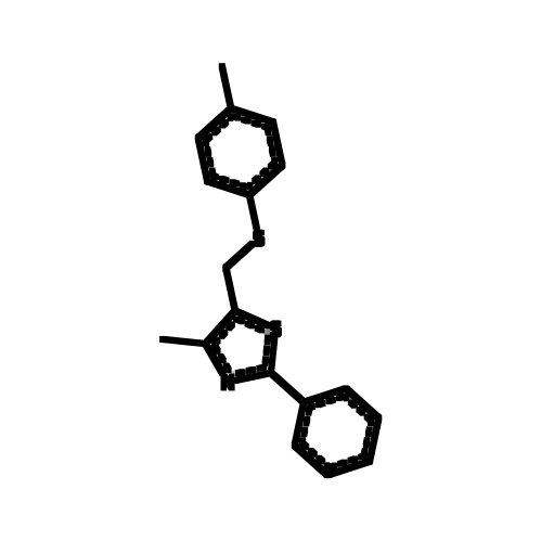 Cc1ccc(SCc2sc(-c3ccccc3)nc2C)cc1